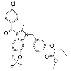 CC[C@@H](Oc1cccc(Cn2c(C)c(C(=O)c3ccc(Cl)cc3)c3ccc(OC(F)(F)F)cc32)c1)C(=O)OC